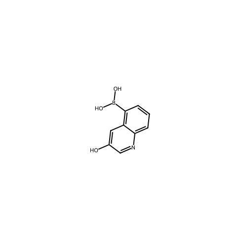 OB(O)c1cccc2ncc(O)cc12